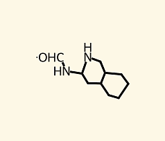 O=[C]NC1CC2CCCCC2CN1